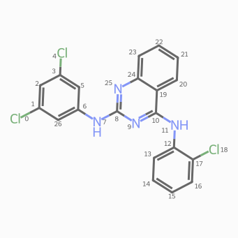 Clc1cc(Cl)cc(Nc2nc(Nc3ccccc3Cl)c3ccccc3n2)c1